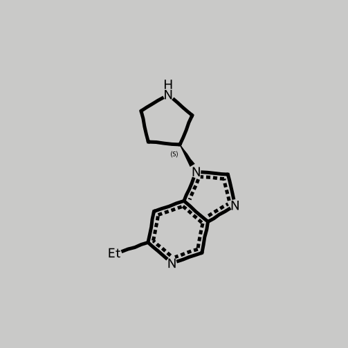 CCc1cc2c(cn1)ncn2[C@H]1CCNC1